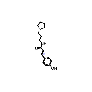 O=C(/C=C/c1ccc(O)cc1)NCCCN1CCCC1